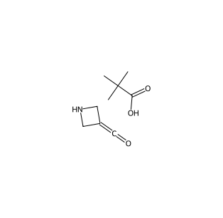 CC(C)(C)C(=O)O.O=C=C1CNC1